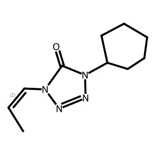 C/C=C\n1nnn(C2CCCCC2)c1=O